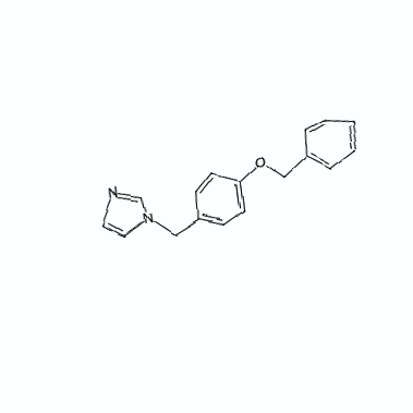 c1ccc(COc2ccc(Cn3ccnc3)cc2)cc1